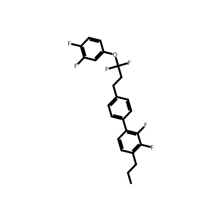 CCCc1ccc(-c2ccc(CCC(F)(F)Oc3ccc(F)c(F)c3)cc2)c(F)c1F